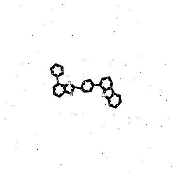 c1ccc(-c2cccc3nc(-c4ccc(-c5cccc6c5oc5ccccc56)cc4)oc23)cc1